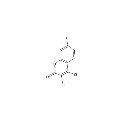 Cc1ccc2c(Cl)c(Cl)c(=O)oc2c1